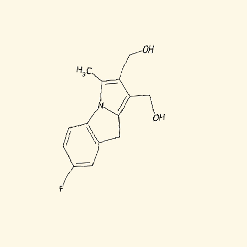 Cc1c(CO)c(CO)c2n1-c1ccc(F)cc1C2